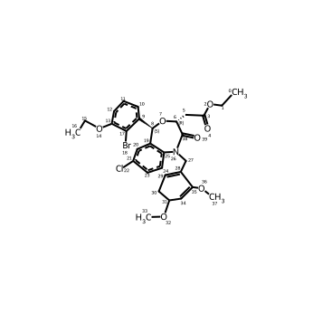 CCOC(=O)C[C@H]1O[C@H](c2cccc(OCC)c2Br)c2cc(Cl)ccc2N(CC2=CCC(OC)C=C2OC)C1=O